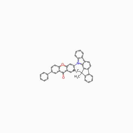 CC1(C)c2ccccc2-c2ccc3c4ccccc4n(-c4ccc5c(=O)c6cc(-c7ccccc7)ccc6oc5c4)c3c21